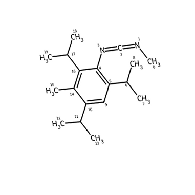 CN=C=Nc1c(C(C)C)cc(C(C)C)c(C)c1C(C)C